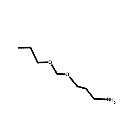 CCCOCOCCCN